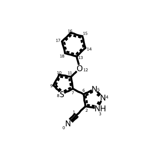 N#Cc1[nH]nnc1-c1sccc1Oc1ccccc1